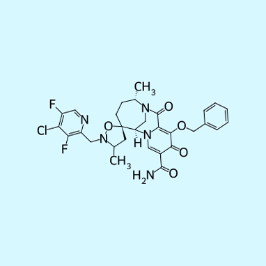 CC1C[C@]2(CC[C@H](C)N3C[C@H]2n2cc(C(N)=O)c(=O)c(OCc4ccccc4)c2C3=O)ON1Cc1ncc(F)c(Cl)c1F